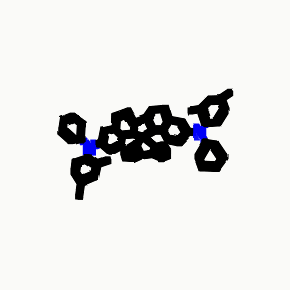 Cc1ccc(N(c2ccccc2)c2ccc3c4c(ccc3c2)-c2ccc3cc(N(c5ccccc5)c5ccc(C)cc5C)ccc3c2C42c3ccccc3-c3ccccc32)c(C)c1